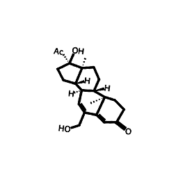 CC(=O)[C@@]1(O)CC[C@H]2[C@@H]3C=C(CO)C4=CC(=O)CC[C@]4(C)[C@H]3CC[C@@]21C